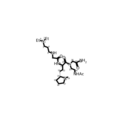 CCN(CC)CCCNCC(=O)NC(CC[C@H]1CCCN1C)C(=O)N(CCNC(C)=O)CC(N)=O